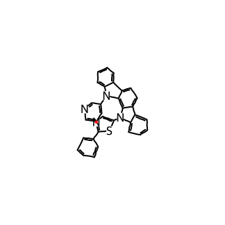 c1ccc(-c2ncc(-n3c4ccccc4c4ccc5c6ccccc6n(-c6cccnc6)c5c43)s2)cc1